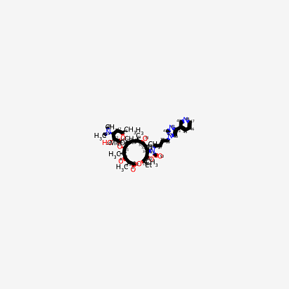 CC[C@H]1OC(=O)[C@H](C)C(=O)[C@H](C)[C@@H](OC2O[C@H](C)C[C@H](N(C)C)[C@H]2O)[C@@](C)(OC)C[C@@H](C)C(=O)[C@H](C)[C@H]2N(CCCCn3cnc(-c4cccnc4)c3)C(=O)O[C@]12C